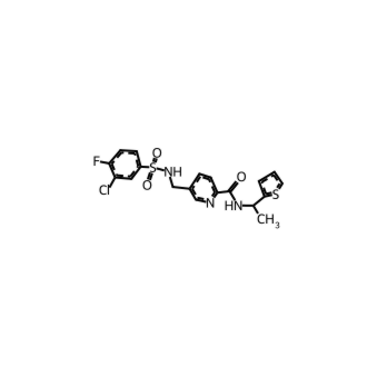 CC(NC(=O)c1ccc(CNS(=O)(=O)c2ccc(F)c(Cl)c2)cn1)c1cccs1